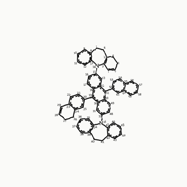 C1=CC2=C(CC1)CCc1ccccc1N2c1ccc2c(-c3ccc4c(c3)CCC=C4)c3cc(N4c5ccccc5CCc5ccccc54)ccc3c(-c3ccc4ccccc4c3)c2c1